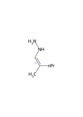 CCC/C(C)=C\NN